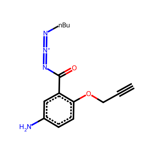 C#CCOc1ccc(N)cc1C(=O)N=[N+]=NCCCC